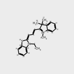 CCN1/C(=C\C=C\C2=[N+](C)c3ccccc3C2(C)C)Sc2ccccc21